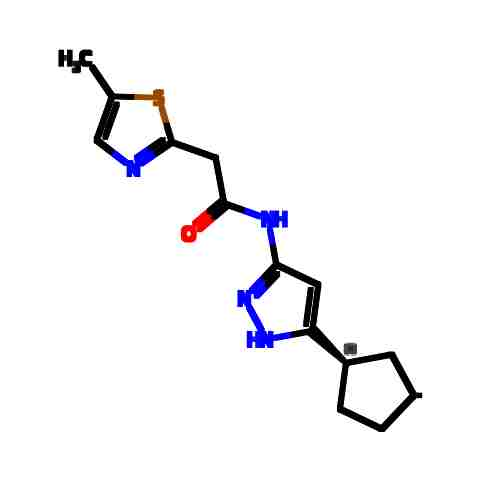 Cc1cnc(CC(=O)Nc2cc([C@H]3C[CH]CC3)[nH]n2)s1